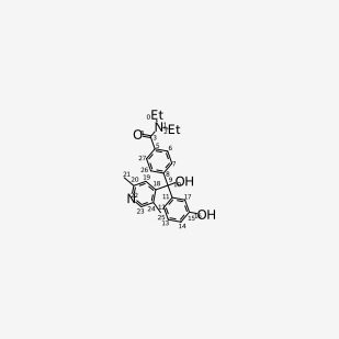 CCN(CC)C(=O)c1ccc(C(O)(c2cccc(O)c2)c2cc(C)ncc2C)cc1